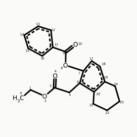 CCOC(=O)Cc1c(OC(=O)c2ccccc2)ccc2c1CCCC2